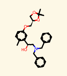 Cc1ccc(OC[C@H]2COC(C)(C)O2)cc1[C@H](O)CN(Cc1ccccc1)Cc1ccccc1